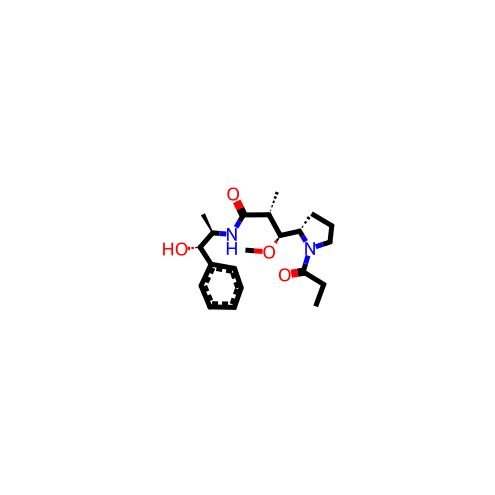 CCC(=O)N1CCC[C@H]1[C@H](OC)[C@@H](C)C(=O)N[C@H](C)[C@@H](O)c1ccccc1